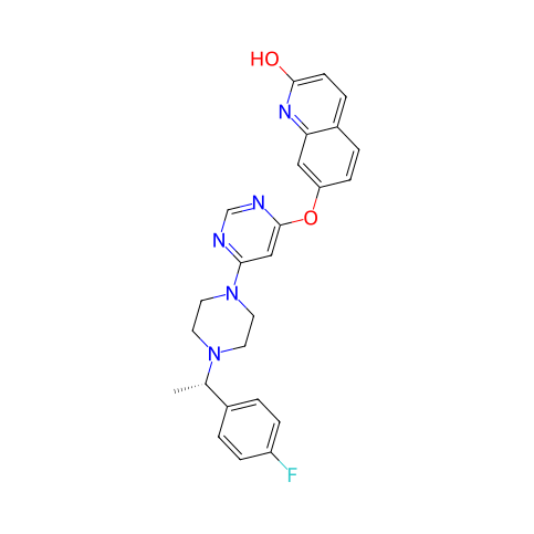 C[C@@H](c1ccc(F)cc1)N1CCN(c2cc(Oc3ccc4ccc(O)nc4c3)ncn2)CC1